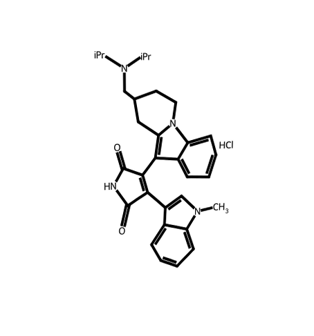 CC(C)N(CC1CCn2c(c(C3=C(c4cn(C)c5ccccc45)C(=O)NC3=O)c3ccccc32)C1)C(C)C.Cl